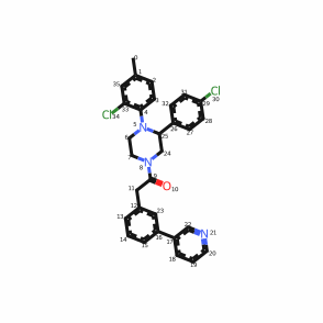 Cc1ccc(N2CCN(C(=O)Cc3cccc(-c4cccnc4)c3)CC2c2ccc(Cl)cc2)c(Cl)c1